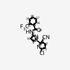 N#Cc1ccc(Cl)nc1-n1ccc(NC(=O)c2ccccc2C(F)(F)F)n1